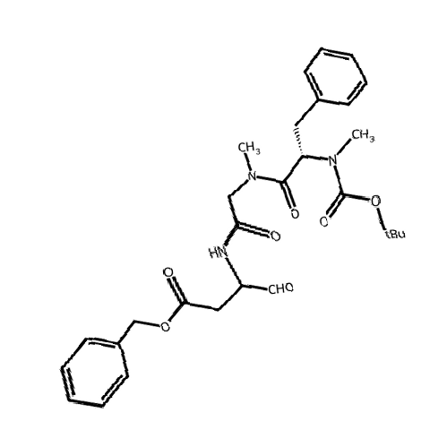 CN(CC(=O)NC(C=O)CC(=O)OCc1ccccc1)C(=O)[C@H](Cc1ccccc1)N(C)C(=O)OC(C)(C)C